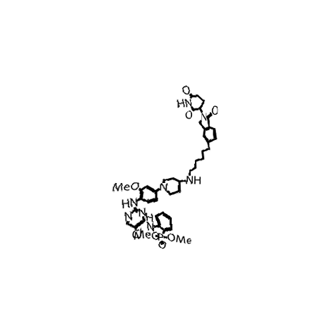 COc1cc(N2CCC(NCCCCCCc3ccc4c(c3)CN(C3CCC(=O)NC3=O)C4=O)CC2)ccc1Nc1ncc(Cl)c(Nc2ccccc2P(=O)(OC)OC)n1